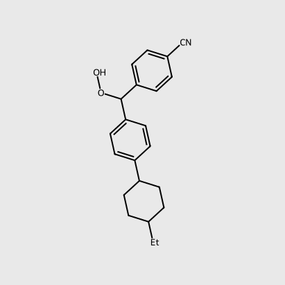 CCC1CCC(c2ccc(C(OO)c3ccc(C#N)cc3)cc2)CC1